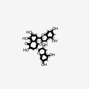 O=c1c(O)cc([C@H]2Oc3cc(O)cc(O)c3C[C@H]2O)cc2c(C3Oc4cc(O)cc(O)c4C[C@H]3O)cc(O)c(O)c12